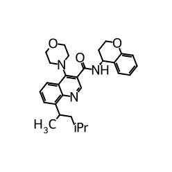 CC(C)CC(C)c1cccc2c(N3CCOCC3)c(C(=O)N[C@H]3CCOc4ccccc43)cnc12